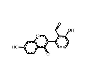 O=Cc1c(O)cccc1-c1coc2cc(O)ccc2c1=O